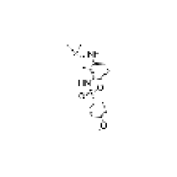 COc1ccc(S(=O)(=O)Nc2cccc3[nH]c(C(C)(C)C)cc23)cc1